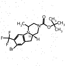 CC1CN(C(=O)OC(C)(C)C)C[C@@H]2Cc3cc(Br)c(C(F)(F)F)cc3N12